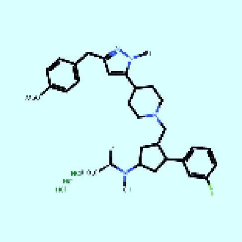 CCn1nc(Cc2ccc(OC)cc2)cc1C1CCN(CC2CC(N(C)[C@@H](C(=O)O)C(C)C)CC2c2cccc(F)c2)CC1.Cl.Cl.Cl